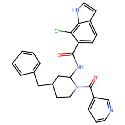 O=C(NC1CC(Cc2ccccc2)CCN1C(=O)c1cccnc1)c1ccc2cc[nH]c2c1Cl